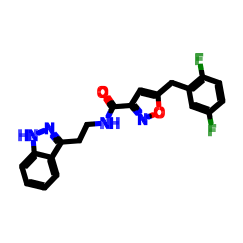 O=C(NCCc1n[nH]c2ccccc12)c1cc(Cc2cc(F)ccc2F)on1